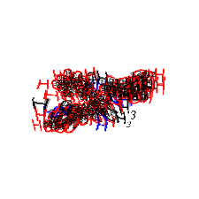 CC(=O)N[C@H]1[C@H](OC[C@H]2O[C@@H](O[C@H]3[C@H](O)[C@@H](NC(C)=O)[C@H](O[C@H]4[C@@H](O)[C@@H](CO)O[C@@H](O[C@H]5[C@H](O)[C@@H](O)[C@H](O)O[C@@H]5CO)[C@@H]4O)O[C@@H]3CO)[C@H](O)[C@@H](O[C@@H]3O[C@H](CO)[C@@H](O[C@@H]4O[C@H](CO)[C@H](O)[C@H](O[C@]5(C(=O)O)C[C@H](O)[C@@H](NC(C)=O)[C@H]([C@H](O)[C@H](O)CO)O5)[C@H]4O)[C@H](O)[C@H]3NC(C)=O)[C@H]2O)O[C@H](CO)[C@@H](O[C@@H]2O[C@H](CO)[C@H](O)[C@H](O[C@H]3O[C@H](CO)[C@H](O)[C@H](O)[C@H]3O)[C@H]2O)[C@@H]1O